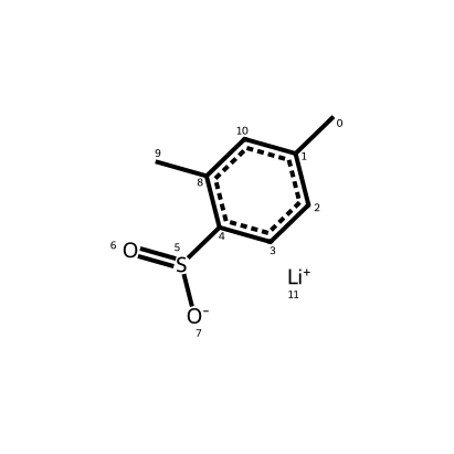 Cc1ccc(S(=O)[O-])c(C)c1.[Li+]